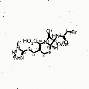 CO[C@@]1(NC(=O)CBr)C(=O)N2C(C(=O)O)=C(CSc3nnnn3C)CS[C@H]21